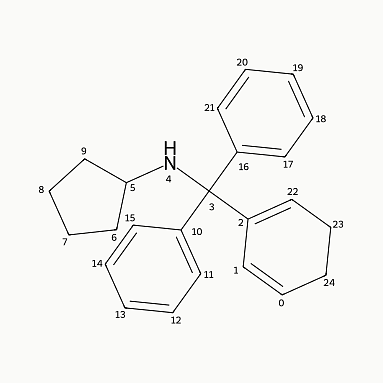 C1=CC(C(NC2CCCC2)(c2ccccc2)c2ccccc2)=CCC1